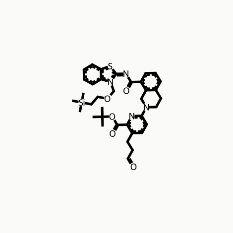 CC(C)(C)OC(=O)c1nc(N2CCc3cccc(C(=O)N=c4sc5ccccc5n4COCC[Si](C)(C)C)c3C2)ccc1CCC=O